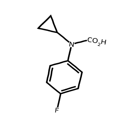 O=C(O)N(c1ccc(F)cc1)C1CC1